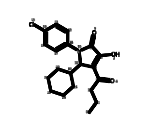 CCCC(=O)C1=C(O)C(=O)N(c2ccc(Cl)cc2)C1C1CCCCC1